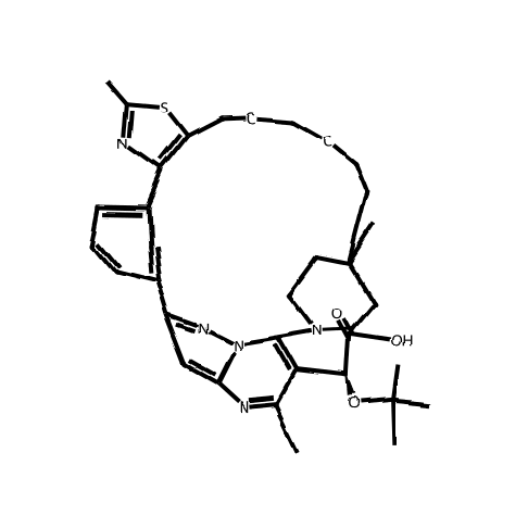 Cc1nc2c(s1)CCCCCCC1(C)CCN(CC1)c1c([C@H](OC(C)(C)C)C(=O)O)c(C)nc3cc(nn13)-c1cccc-2c1